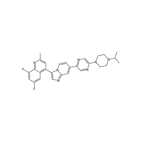 Cc1cc(-c2cnc3cc(-c4cnc(N5CCN(C(C)C)CC5)cn4)ccn23)c2cc(F)cc(F)c2n1